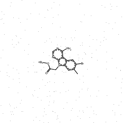 CCCCOC(=O)Cn1c2cc(C)c(Br)cc2c2c(N)ncnc21